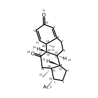 CC(=O)[C@H]1CC[C@H]2[C@@H]3CCC4=CC(=O)C=C[C@]4(C)[C@H]3C(=O)C[C@]12C